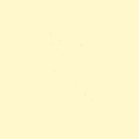 CC(C)C(N)C(=O)O.CC(C)C(N)C(=O)O.CC(C)C(N)C(=O)O.N=C(N)NCCCC(N)C(=O)O.NCC(=O)O